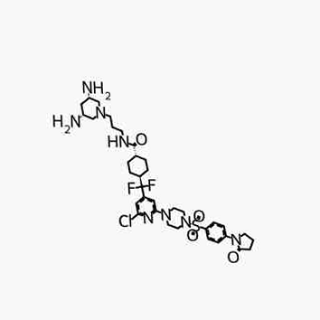 N[C@@H]1C[C@H](N)CN(CCCNC(=O)[C@H]2CC[C@H](C(F)(F)c3cc(Cl)nc(N4CCN(S(=O)(=O)c5ccc(N6CCCC6=O)cc5)CC4)c3)CC2)C1